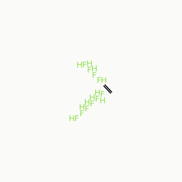 C=C.F.F.F.F.F.F.F.F.F.F